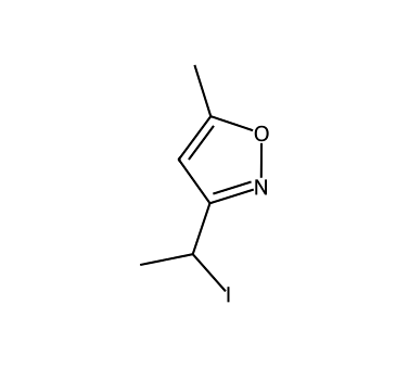 Cc1cc(C(C)I)no1